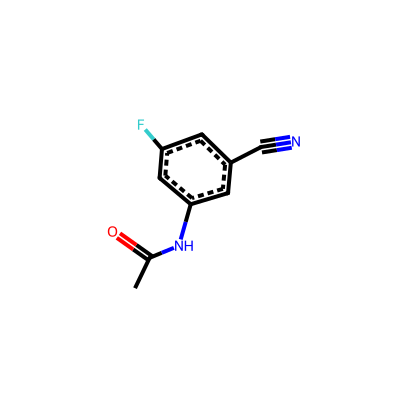 CC(=O)Nc1cc(F)cc(C#N)c1